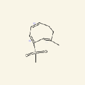 C\C1=C/C(S(C)(=O)=O)=C\C=C/CC1